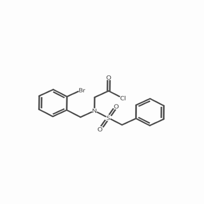 O=C(Cl)CN(Cc1ccccc1Br)S(=O)(=O)Cc1ccccc1